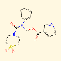 O=C(OCN(C(=O)N1CCS(=O)(=O)CC1)c1ccccc1)c1cccnc1